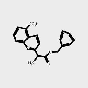 CC(C(=O)OCc1ccccc1)c1ccc2c(C(=O)O)cccc2n1